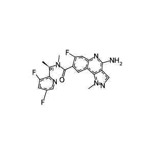 C[C@H](c1ncc(F)cc1F)N(C)C(=O)c1cc2c(cc1F)nc(N)c1cnn(C)c12